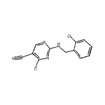 N#Cc1cnc(NCc2ccccc2Cl)nc1Cl